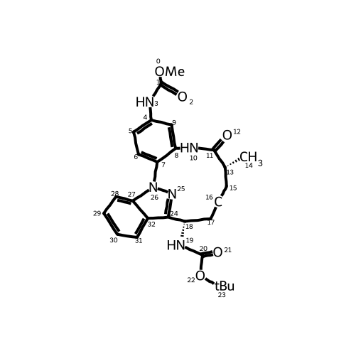 COC(=O)Nc1ccc2c(c1)NC(=O)[C@H](C)CCC[C@H](NC(=O)OC(C)(C)C)c1nn-2c2ccccc12